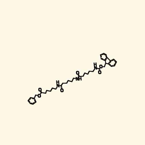 O=C(CCCCCNC(=O)CCCCCNC(=O)OCC1c2ccccc2-c2ccccc21)NCCCCCC(=O)OCc1ccccc1